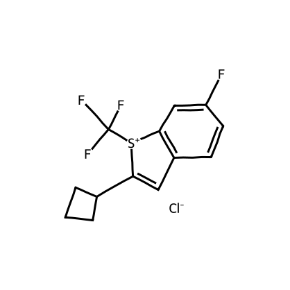 Fc1ccc2cc(C3CCC3)[s+](C(F)(F)F)c2c1.[Cl-]